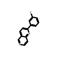 Fc1cccc(-c2ccc3cnccc3n2)c1